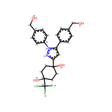 OCc1ccc(-c2cc(C3(O)CCC(O)(C(F)(F)F)CC3)nn2-c2ccc(CO)cc2)cc1